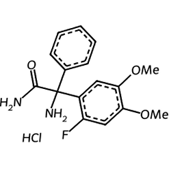 COc1cc(F)c(C(N)(C(N)=O)c2ccccc2)cc1OC.Cl